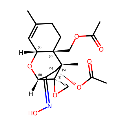 CC(=O)OC[C@]12CCC(C)=C[C@H]1O[C@@H]1C(=NO)[C@@H](OC(C)=O)[C@@]2(C)[C@]12CO2